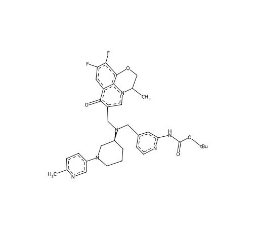 Cc1ccc(N2CCC[C@H](N(Cc3ccnc(NC(=O)OC(C)(C)C)c3)Cc3cn4c5c(c(F)c(F)cc5c3=O)OCC4C)C2)cn1